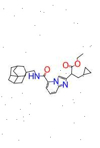 CCOC(=O)C(CC1CC1)c1cn2c(C(=O)NCC34CC5CC6CC(C3)C6(C5)C4)cccc2n1